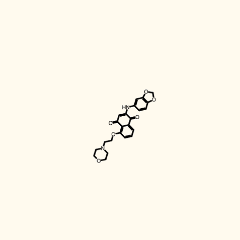 O=C1C(Nc2ccc3c(c2)OCO3)=CC(=O)c2c(OCCN3CCOCC3)cccc21